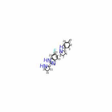 Cc1ccc([C@H]2CC[C@H](c3cc4nc([C@@H]5CCCN5)[nH]c4cc3F)N2)cc1